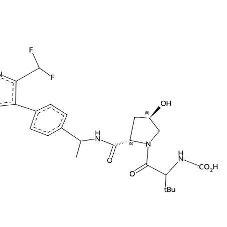 CC(NC(=O)[C@@H]1C[C@@H](O)CN1C(=O)C(NC(=O)O)C(C)(C)C)c1ccc(-c2scnc2C(F)F)cc1